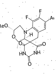 CO[C@@H]1CN2c3c(cc(C(C)=O)c(F)c3F)CC3(C(=O)NC(=O)NC3=O)[C@H]2[C@H](C)O1